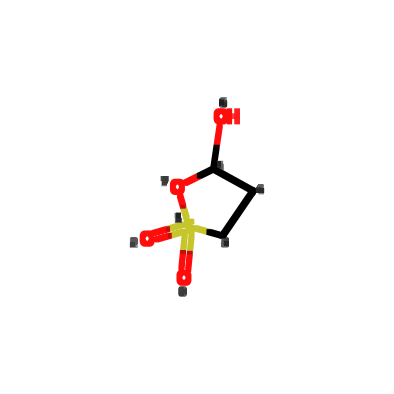 O=S1(=O)CCC(O)O1